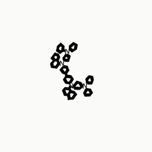 C1=C(N(c2ccccc2)c2ccccc2)CC(N(c2ccc(-c3ccc(N(c4ccc(N(c5ccccc5)c5ccccc5)cc4)c4cccc5ccccc45)cc3)cc2)c2cccc3ccccc23)=C1